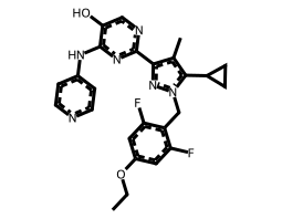 CCOc1cc(F)c(Cn2nc(-c3ncc(O)c(Nc4ccncc4)n3)c(C)c2C2CC2)c(F)c1